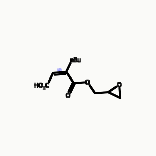 CCCC/C(=C/C(=O)O)C(=O)OCC1CO1